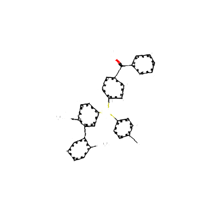 COc1ccccc1-c1cc([SH](c2ccc(C)cc2)c2ccc(C(=O)c3ccccc3)cc2)ccc1OC